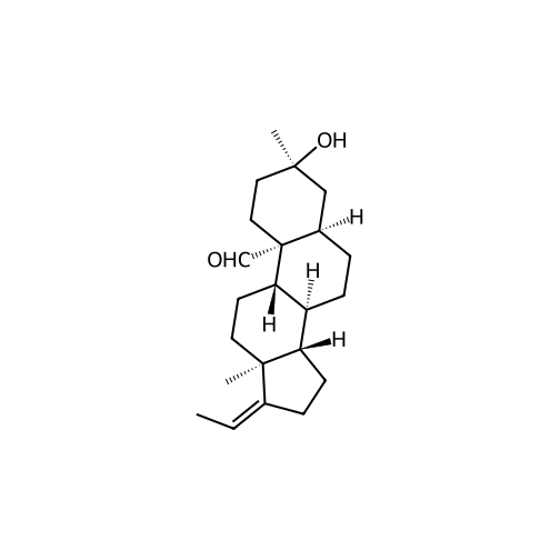 C/C=C1/CC[C@H]2[C@@H]3CC[C@@H]4C[C@](C)(O)CC[C@]4(C=O)[C@H]3CC[C@]12C